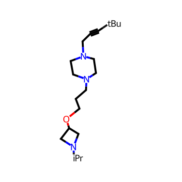 CC(C)N1CC(OCCCN2CCN(CC#CC(C)(C)C)CC2)C1